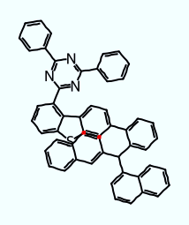 c1ccc(-c2nc(-c3ccccc3)nc(-c3cccc4sc5cc(-c6ccccc6C(c6ccc7ccccc7c6)c6cccc7ccccc67)ccc5c34)n2)cc1